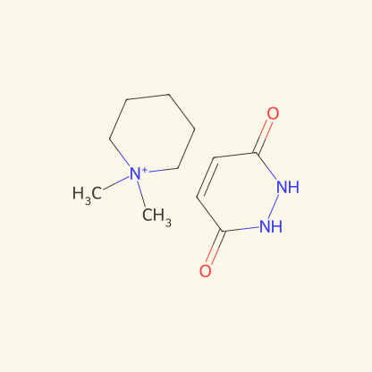 C[N+]1(C)CCCCC1.O=c1ccc(=O)[nH][nH]1